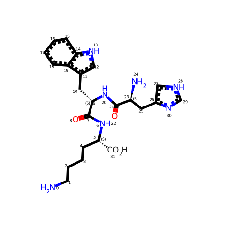 NCCCC[C@H](NC(=O)[C@H](Cc1c[nH]c2ccccc12)NC(=O)[C@@H](N)Cc1c[nH]cn1)C(=O)O